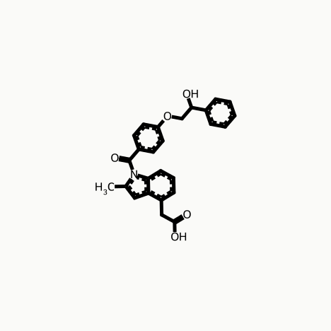 Cc1cc2c(CC(=O)O)cccc2n1C(=O)c1ccc(OCC(O)c2ccccc2)cc1